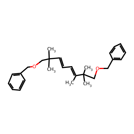 C/C(=C\C=C\C(C)(C)COCc1ccccc1)C(C)(C)COCc1ccccc1